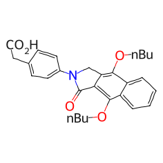 CCCCOc1c2c(c(OCCCC)c3ccccc13)C(=O)N(c1ccc(CC(=O)O)cc1)C2